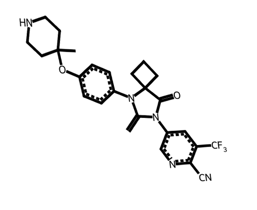 C=C1N(c2cnc(C#N)c(C(F)(F)F)c2)C(=O)C2(CCC2)N1c1ccc(OC2(C)CCNCC2)cc1